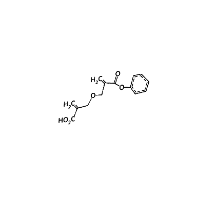 C=C(COCC(=C)C(=O)Oc1ccccc1)C(=O)O